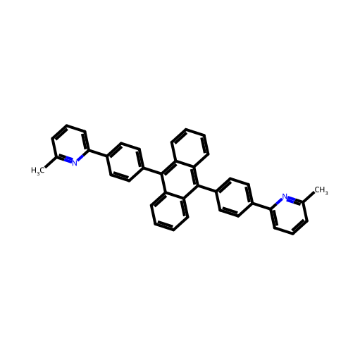 Cc1cccc(-c2ccc(-c3c4ccccc4c(-c4ccc(-c5cccc(C)n5)cc4)c4ccccc34)cc2)n1